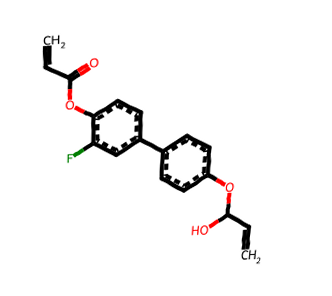 C=CC(=O)Oc1ccc(-c2ccc(OC(O)C=C)cc2)cc1F